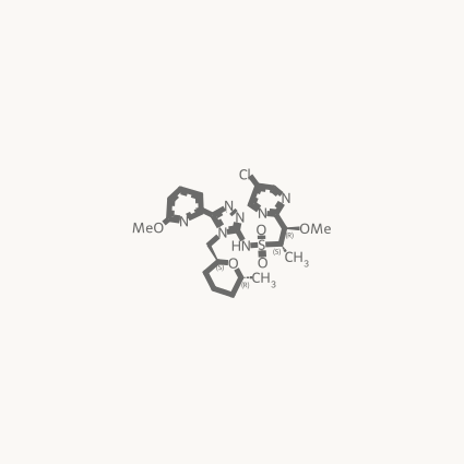 COc1cccc(-c2nnc(NS(=O)(=O)[C@@H](C)[C@H](OC)c3ncc(Cl)cn3)n2C[C@@H]2CCC[C@@H](C)O2)n1